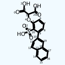 O=C(O)C(Oc1cccc(-c2ccc3ccccc3c2)c1S(=O)(=O)O)C(=O)O